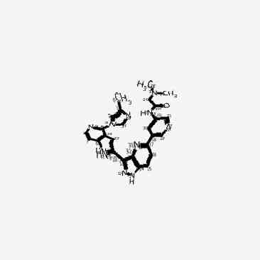 Cc1cn(-c2nccc3[nH]c(-c4n[nH]c5ccc(-c6cncc(NC(=O)CN(C)C)c6)nc45)cc23)cn1